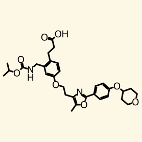 Cc1oc(-c2ccc(OC3CCOCC3)cc2)nc1CCOc1ccc(CCC(=O)O)c(CNC(=O)OC(C)C)c1